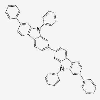 c1ccc(-c2ccc3c4ccc(-c5ccc6c7ccc(-c8ccccc8)cc7n(-c7ccccc7)c6c5)cc4n(-c4ccccc4)c3c2)cc1